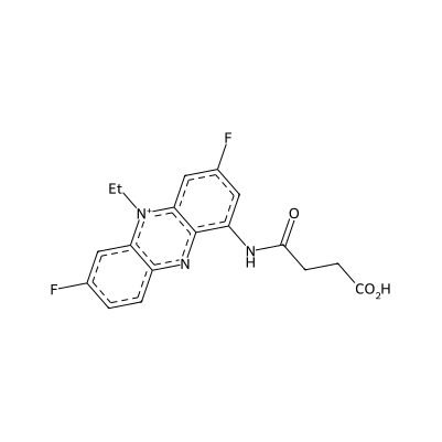 CC[n+]1c2cc(F)ccc2nc2c(NC(=O)CCC(=O)O)cc(F)cc21